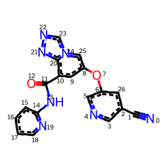 N#Cc1cncc(Oc2cc(C(=O)Nc3ccccn3)c3nncn3c2)c1